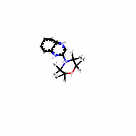 [2H]C1([2H])OC([2H])([2H])C([2H])([2H])N(c2cnc3ccccc3n2)C1([2H])[2H]